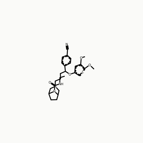 CCNC(=O)N1C2CCC1CN(CCCC(Oc1ccc(OC)c(OC)c1)c1ccc(C#N)cc1)C2